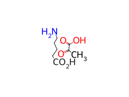 CC(=O)C(=O)O.NCCCCC(=O)O